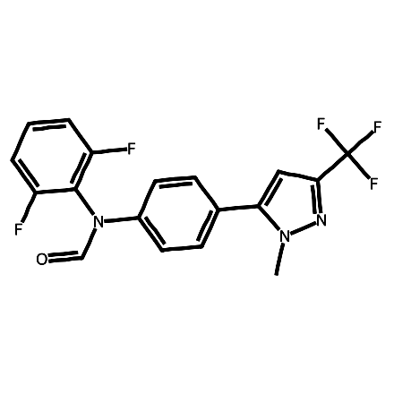 Cn1nc(C(F)(F)F)cc1-c1ccc(N(C=O)c2c(F)cccc2F)cc1